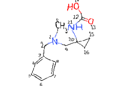 CN(Cc1ccccc1)CC1(NC(=O)O)CC1